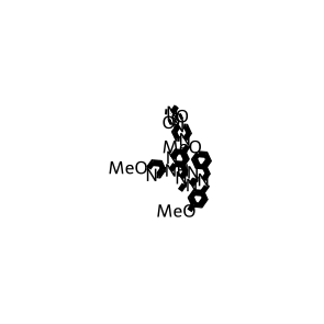 COc1ccc(CN(Cc2ccc(OC)cc2)c2nc(C)nc(-c3cc(CN4CCN(S(=O)(=O)N(C)C)CC4)cnc3Nc3ccc(OC)nc3)n2)cc1